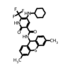 Cc1ccc2c(c1)Sc1cc(C)ccc1C2NC(=O)c1cc(NC2CCCCC2)c(C(F)(F)F)[nH]c1=O